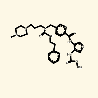 CN1CCN(CCCN(Cc2ccc(C(=O)Nc3cscc3NC(=O)OC(C)(C)C)nc2)C(=O)NCCc2ccccc2)CC1